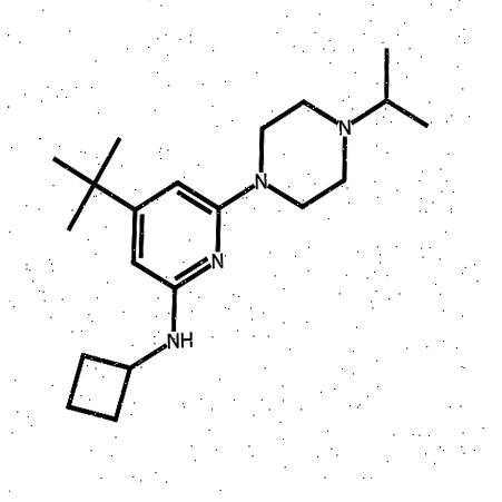 CC(C)N1CCN(c2cc(C(C)(C)C)cc(NC3CCC3)n2)CC1